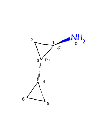 N[C@@H]1C[C@H]1C1CC1